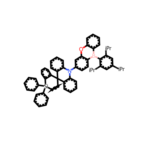 CC(C)c1cc(C(C)C)c(B2c3ccccc3Oc3cc(N4c5ccccc5C5(c6ccccc64)c4ccccc4[Si](c4ccccc4)(c4ccccc4)c4ccccc45)ccc32)c(C(C)C)c1